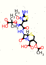 COn1c(C(=NOC(C)(C)C(=O)O)C(=O)N[C@@H]2C(=O)N3C(C(=O)O)=C(COC(C)=O)CS[C@@H]23)csc1=N